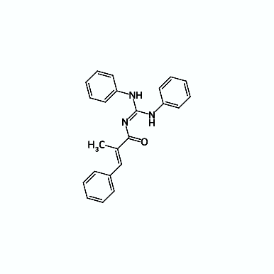 C/C(=C\c1ccccc1)C(=O)N=C(Nc1ccccc1)Nc1ccccc1